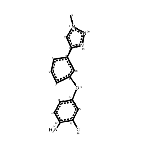 Cn1cc(-c2cccc(Oc3ccc(N)c(Cl)c3)c2)nn1